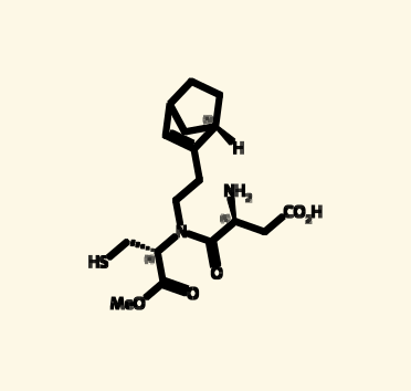 COC(=O)[C@H](CS)N(CCC1=CC2CC[C@H]1C2)C(=O)[C@@H](N)CC(=O)O